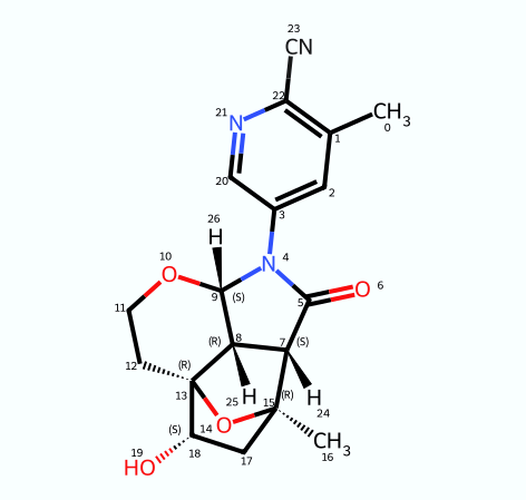 Cc1cc(N2C(=O)[C@H]3[C@H]4[C@@H]2OCC[C@@]42O[C@]3(C)C[C@@H]2O)cnc1C#N